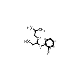 CCC(OCC(C)C)Oc1ccccc1Br